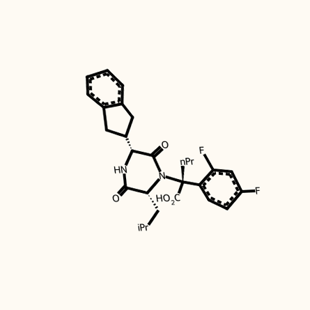 CCC[C@](C(=O)O)(c1ccc(F)cc1F)N1C(=O)[C@@H](C2Cc3ccccc3C2)NC(=O)[C@H]1CC(C)C